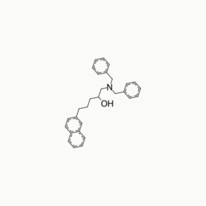 OC(CCCc1ccc2ccccc2c1)CN(Cc1ccccc1)Cc1ccccc1